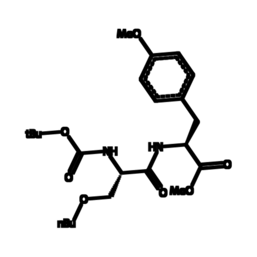 CCCCOC[C@H](NC(=O)OC(C)(C)C)C(=O)N[C@@H](Cc1ccc(OC)cc1)C(=O)OC